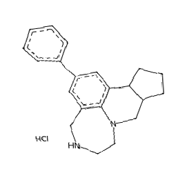 Cl.c1ccc(-c2cc3c4c(c2)C2CCCC2CN4CCNC3)cc1